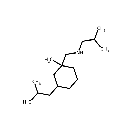 CC(C)CNCC1(C)CCCC(CC(C)C)C1